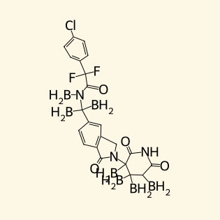 BC1C(=O)NC(=O)C(B)(N2Cc3cc(C(B)(B)N(B)C(=O)C(F)(F)c4ccc(Cl)cc4)ccc3C2=O)C1(B)B